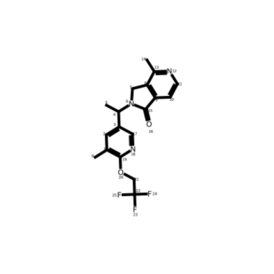 Cc1cc(C(C)N2Cc3c(ccnc3C)C2=O)cnc1OCC(F)(F)F